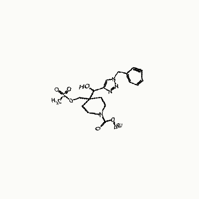 CC(C)(C)OC(=O)N1CCC(COS(C)(=O)=O)(C(O)c2cn(Cc3ccccc3)nn2)CC1